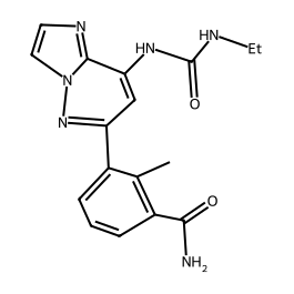 CCNC(=O)Nc1cc(-c2cccc(C(N)=O)c2C)nn2ccnc12